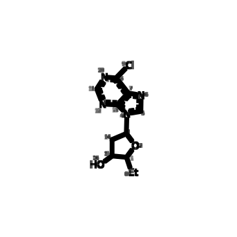 CCC1OC(n2cnc3c(Cl)ncnc32)CC1O